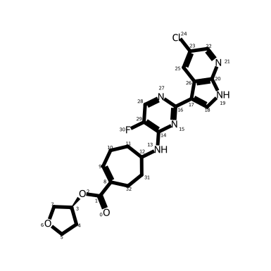 O=C(O[C@H]1CCOC1)C1=CCCC(Nc2nc(-c3c[nH]c4ncc(Cl)cc34)ncc2F)CC1